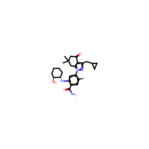 CC1(C)CC(=O)c2c(CC3CC3)nn(-c3cc(N[C@H]4CCCC[C@@H]4O)c(C(N)=O)cc3F)c2C1